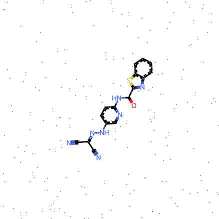 N#CC(C#N)=NNc1ccc(NC(=O)c2nc3ccccc3s2)nc1